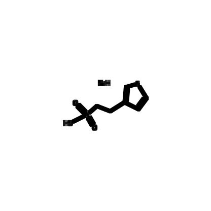 O=S(=O)(O)CCc1ccsc1.[NaH]